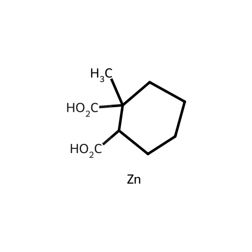 CC1(C(=O)O)CCCCC1C(=O)O.[Zn]